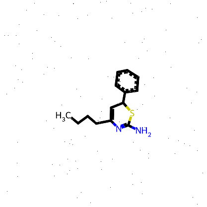 CCCCC1=CC(c2ccccc2)SC(N)=N1